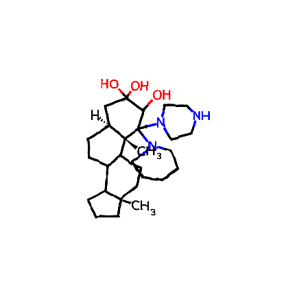 C[C@@]12CCCC1C1CC[C@H]3CC(O)(O)C(O)C(N4CCCCC4)(N4CCNCC4)[C@]3(C)C1CC2